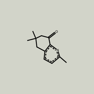 Cc1ccc2c(n1)C(=O)CC(C)(C)C2